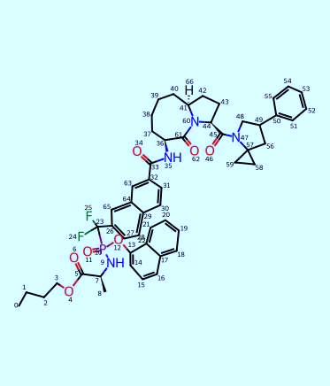 CCCCOC(=O)[C@H](C)NP(=O)(Oc1cccc2ccccc12)C(F)(F)c1ccc2ccc(C(=O)N[C@H]3CCCC[C@H]4CC[C@@H](C(=O)N5CC(c6ccccc6)CC56CC6)N4C3=O)cc2c1